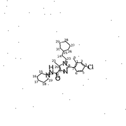 Cc1cc(Cl)ccc1-c1nc(C(=O)NN2CCCCC2)c(C)n1CCC1CCCCC1